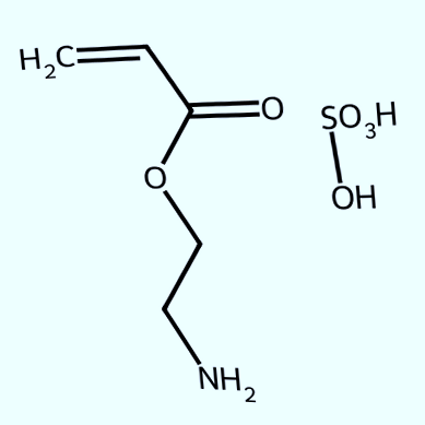 C=CC(=O)OCCN.O=S(=O)(O)O